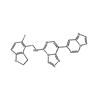 Fc1ccc2c(c1CNc1ncc(-c3ccn4ccnc4c3)c3nncn13)CCO2